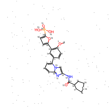 COc1ccc(-c2cccc3nc(NC(=O)C4CCCCC4)cn23)cc1-c1ccc(P(=O)(O)O)o1